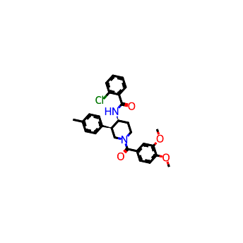 COc1ccc(C(=O)N2CC[C@@H](NC(=O)c3ccccc3Cl)[C@H](c3ccc(C)cc3)C2)cc1OC